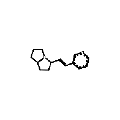 C(=CC1CCC2CCCN12)c1cccnc1